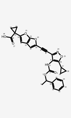 CC(OC(=O)Nc1c(C#Cc2cc3cc(C4(C(=O)O)CC4)oc3o2)noc1C1CC1)c1ccccc1